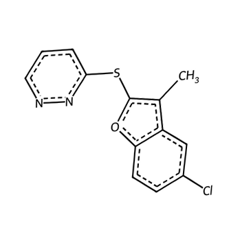 Cc1c(Sc2cccnn2)oc2ccc(Cl)cc12